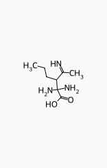 CCCC(C(C)=N)C(N)(N)C(=O)O